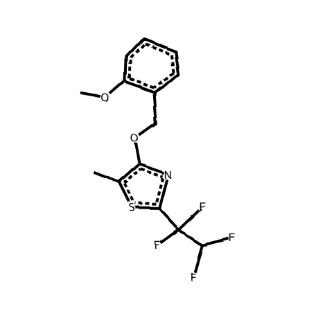 COc1ccccc1COc1nc(C(F)(F)C(F)F)sc1C